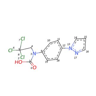 O=C(O)N(CC(Cl)(Cl)Cl)c1ccc(-n2cccn2)cc1